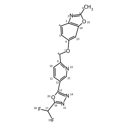 Cc1nc2ccc(OCc3ccc(-c4nnc(C(F)F)o4)cn3)cc2o1